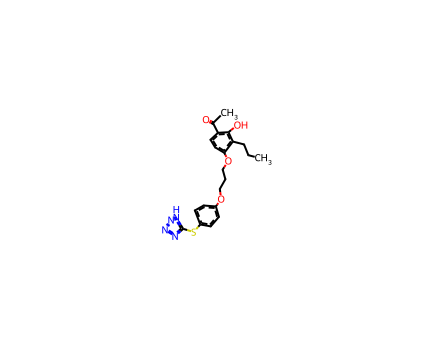 CCCc1c(OCCCOc2ccc(Sc3nnn[nH]3)cc2)ccc(C(C)=O)c1O